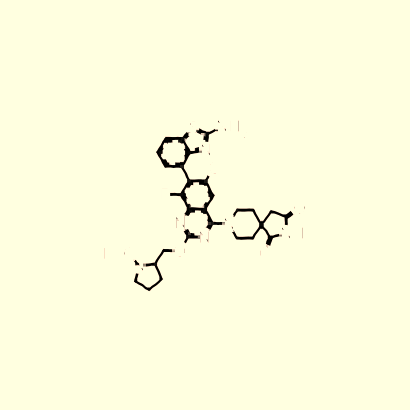 CN1CCCC1COc1nc(N2CCC3(CC2)CC(=O)NC3=O)c2cc(Cl)c(-c3cccc4sc(N)nc34)c(F)c2n1